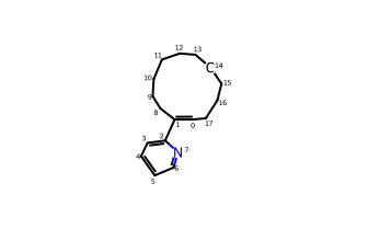 C1=C(c2ccccn2)CCCCCCCCCC1